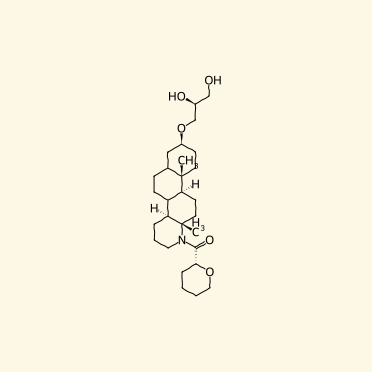 C[C@]12CC[C@H](OC[C@@H](O)CO)CC1CCC1[C@@H]2CC[C@@]2(C)[C@H]1CCCN2C(=O)[C@H]1CCCCO1